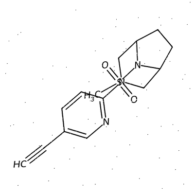 C#Cc1ccc(N2CC3CCC(C2)N3S(C)(=O)=O)nc1